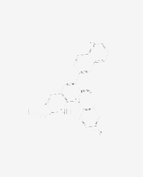 CCO[C@@]1(C)C=Cc2cc(-c3ccc4ncccc4c3)c(=O)n(-c3ccc(Cl)cc3)c2N1